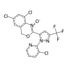 [O-][N+]1=C(c2cc(C(F)(F)F)nn2-c2ncccc2Cl)OCc2cc(Cl)cc(Cl)c21